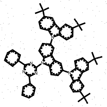 CC(C)(C)c1ccc2c(c1)c1cc(C(C)(C)C)ccc1n2-c1ccc2c(c1)c1cc(-n3c4ccc(C(C)(C)C)cc4c4cc(C(C)(C)C)ccc43)ccc1n2-c1nc(-c2ccccc2)nc(-c2ccccc2)n1